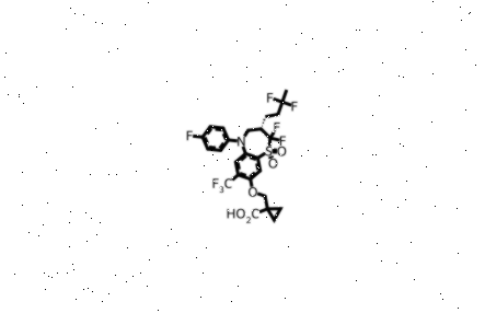 CC(F)(F)CC[C@H]1CN(c2ccc(F)cc2)c2cc(C(F)(F)F)c(OCC3(C(=O)O)CC3)cc2S(=O)(=O)C1(F)F